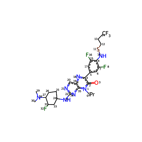 CC(C)n1c(=O)c(-c2cc(F)c(NSCCC(F)(F)F)c(F)c2)nc2cnc(NC3CCC(N(C)C)C(F)C3)nc21